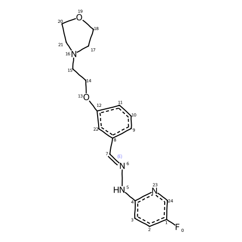 Fc1ccc(N/N=C/c2cccc(OCCN3CCOCC3)c2)nc1